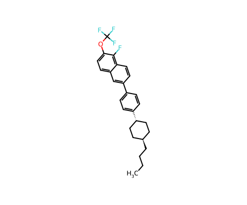 CCCC[C@H]1CC[C@H](c2ccc(-c3ccc4c(F)c(OC(F)(F)F)ccc4c3)cc2)CC1